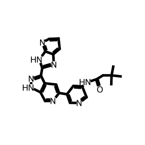 CC(C)(C)CC(=O)Nc1cncc(-c2cc3c(-c4nc5cccnc5[nH]4)n[nH]c3cn2)c1